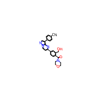 N#Cc1ccc(-c2cnn3ccc(-c4ccc(C(=O)N5CCOCC5)c(CO)c4)nc23)cc1